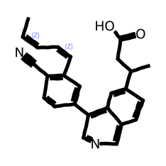 C/C=C\C=C/c1cc(-c2cncc3ccc(C(C)CC(=O)O)cc23)ccc1C#N